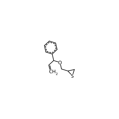 C=CC(OCC1CS1)c1ccccc1